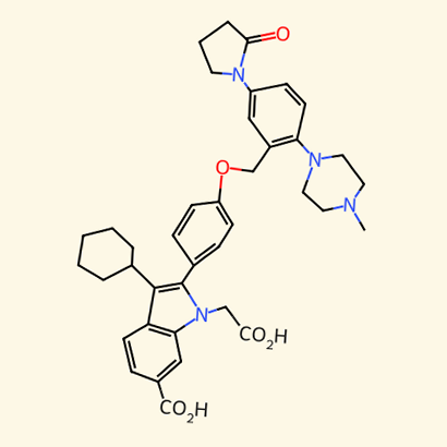 CN1CCN(c2ccc(N3CCCC3=O)cc2COc2ccc(-c3c(C4CCCCC4)c4ccc(C(=O)O)cc4n3CC(=O)O)cc2)CC1